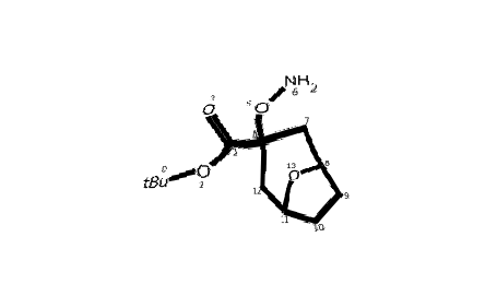 CC(C)(C)OC(=O)C1(ON)CC2CCC(C1)O2